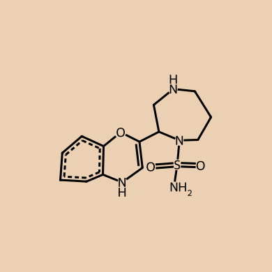 NS(=O)(=O)N1CCCNCC1C1=CNc2ccccc2O1